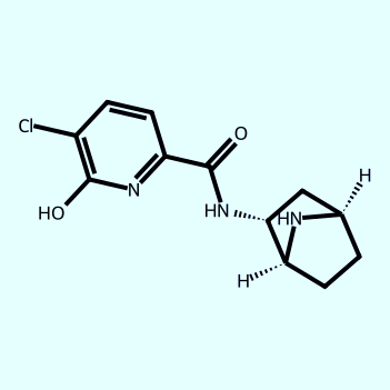 O=C(N[C@@H]1C[C@H]2CC[C@@H]1N2)c1ccc(Cl)c(O)n1